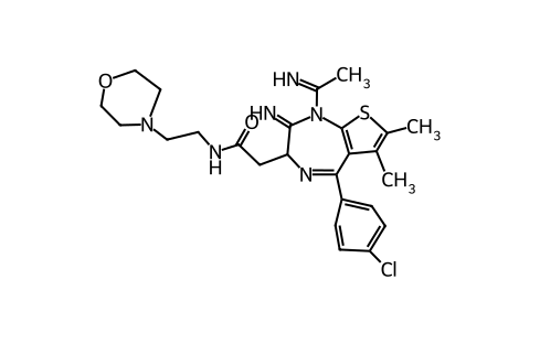 CC(=N)N1C(=N)C(CC(=O)NCCN2CCOCC2)N=C(c2ccc(Cl)cc2)c2c1sc(C)c2C